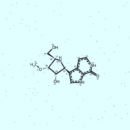 CO[C@H]1[C@@H](O)[C@H](c2c[nH]c3c(=O)[nH]ccc23)N[C@@H]1CO